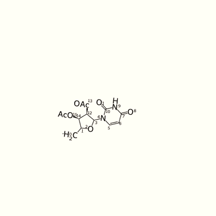 [CH2]C1OC(n2ccc(=O)[nH]c2=O)[C@H](OC(C)=O)[C@@H]1OC(C)=O